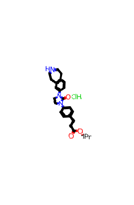 CC(C)OC(=O)CCc1ccc(N2CCN(c3ccc4c(c3)CCNCC4)C2=O)cc1.Cl